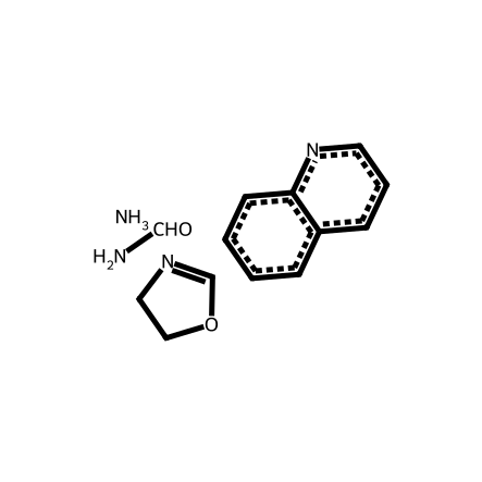 C1=NCCO1.N.NC=O.c1ccc2ncccc2c1